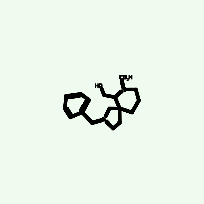 O=C(O)N1CCCC2(CCN(Cc3ccccc3)C2)C1CO